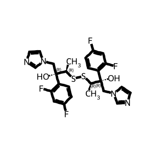 C[C@@H](SS[C@H](C)[C@](O)(Cn1ccnc1)c1ccc(F)cc1F)[C@](O)(Cn1ccnc1)c1ccc(F)cc1F